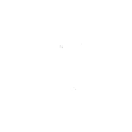 N#CCCc1cccnc1CO